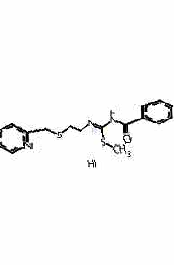 CS/C(=N\CCSCc1ccccn1)NC(=O)c1ccccc1.I